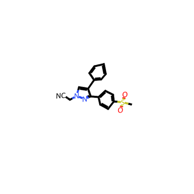 CS(=O)(=O)c1ccc(-c2nn(CC#N)cc2-c2ccccc2)cc1